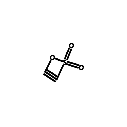 O=S1(=O)C#CO1